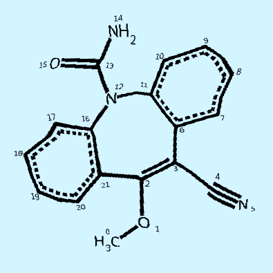 COC1=C(C#N)c2ccccc2N(C(N)=O)c2ccccc21